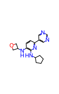 c1ncc(-c2ccc(NC3COC3)c(NC3CCCC3)n2)cn1